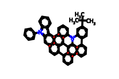 CC(C)(C)c1ccc(-c2ccccc2)c(N(c2cccc(-c3cccc4c3c3ccccc3n4-c3ccccc3)c2)c2ccccc2-c2cccc3cccc(-c4ccccc4)c23)c1